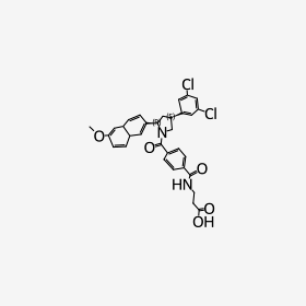 COC1=CC2C=CC([C@H]3C[C@@H](c4cc(Cl)cc(Cl)c4)CN3C(=O)c3ccc(C(=O)NCCC(=O)O)cc3)=CC2C=C1